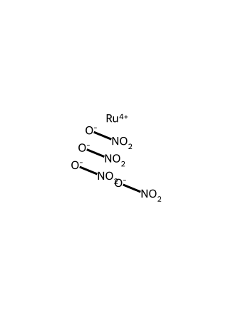 O=[N+]([O-])[O-].O=[N+]([O-])[O-].O=[N+]([O-])[O-].O=[N+]([O-])[O-].[Ru+4]